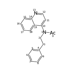 CC(=O)N(CCc1ccccc1)c1ccnc2ccccc12